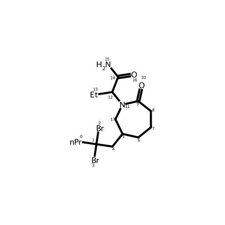 CCCC(Br)(Br)CC1CCCC(=O)N(C(CC)C(N)=O)C1